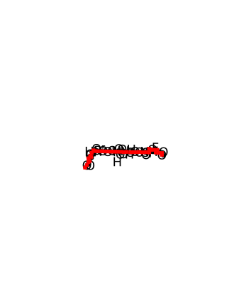 CCOC(=O)/C(C)=C/c1ccc(Oc2ccc([S+]([O-])NCCOCCOCCOCCNC(=O)C(O)C(O)C(=O)NCCOCCOCCOCCN[S+]([O-])c3ccc(Oc4c(F)cc(/C=C(\C)C(=O)OCC)cc4F)cc3)cc2)c(F)c1